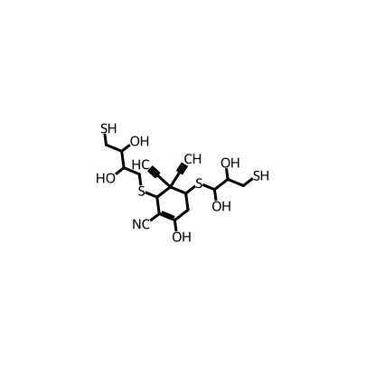 C#CC1(C#C)C(SC(O)C(O)CS)CC(O)=C(C#N)C1SCC(O)C(O)CS